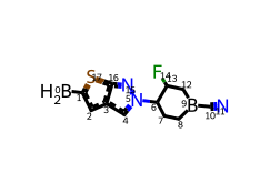 Bc1cc2cn(C3CCB(C#N)CC3F)nc2s1